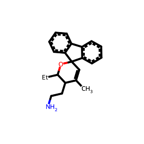 CCC1OC2(C=C(C)C1CCN)c1ccccc1-c1ccccc12